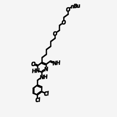 CCCCOCCOCCOCCCCCCc1c(C=N)nc(NCc2ccc(Cl)c(Cl)c2)[nH]c1=O